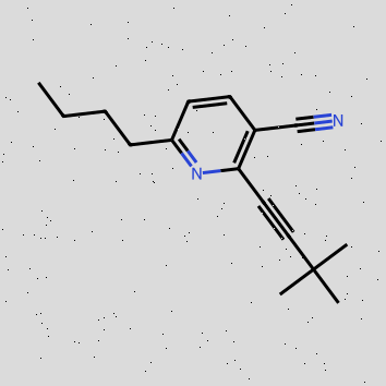 CCCCc1ccc(C#N)c(C#CC(C)(C)C)n1